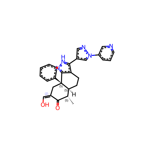 C[C@@H]1C(=O)/C(=C\O)C[C@]2(c3ccccc3)c3n[nH]c(-c4cnn(-c5cccnc5)c4)c3CC[C@@H]12